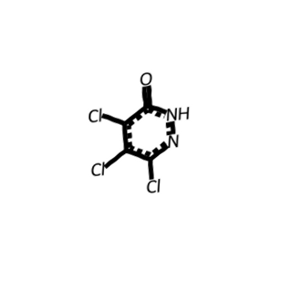 O=c1[nH]nc(Cl)c(Cl)c1Cl